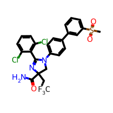 CS(=O)(=O)c1cccc(-c2ccc(N3CC(CC(F)(F)F)(C(N)=O)N=C3c3c(Cl)cccc3Cl)cc2)c1